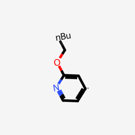 CCCCCOc1c[c]ccn1